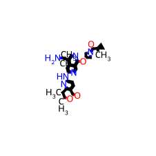 C[C@@H]1OC(=O)c2ccc(Nc3cc4c(C(C)(C)N)cnc(OC5CN(C(=O)C6(C)CC6)C5)c4cn3)nc2[C@H]1C